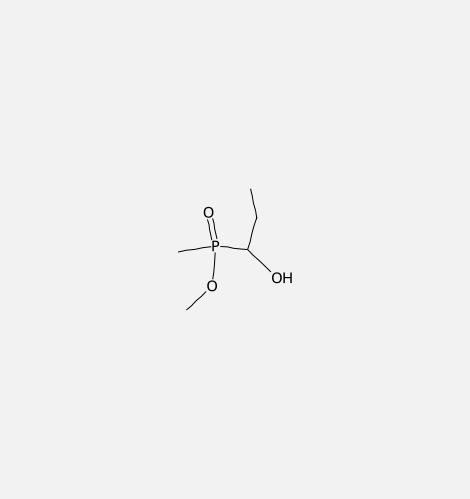 CCC(O)P(C)(=O)OC